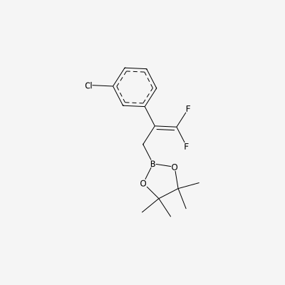 CC1(C)OB(CC(=C(F)F)c2cccc(Cl)c2)OC1(C)C